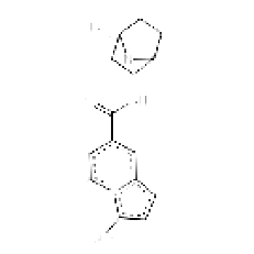 O=C(N[C@@H]1C[C@H]2CC[C@@H]1N2)c1ccn2c(Br)ccc2c1